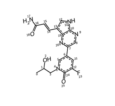 CC(O)Cn1cc(-c2cnc3[nH]cc(C=CC(N)=O)c3n2)cc(F)c1=O